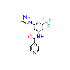 Cc1cn(-c2cc(NC(=O)c3ccncc3)cc(C(F)(F)F)c2)cn1